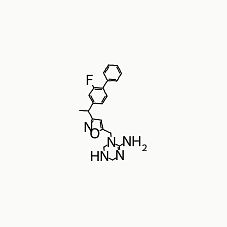 CC(c1ccc(-c2ccccc2)c(F)c1)c1cc(CN2CNCN=C2N)on1